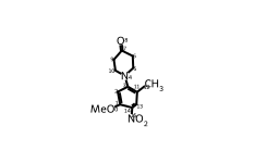 COc1cc(N2CCC(=O)CC2)c(C)cc1[N+](=O)[O-]